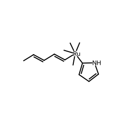 CC=CC=[CH][Ru]([CH3])([CH3])([CH3])([CH3])[c]1ccc[nH]1